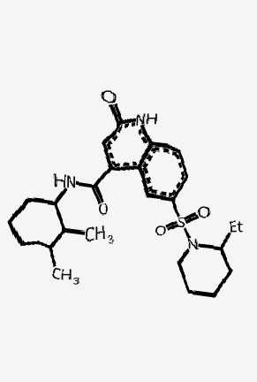 CCC1CCCCN1S(=O)(=O)c1ccc2[nH]c(=O)cc(C(=O)NC3CCCC(C)C3C)c2c1